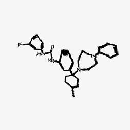 CC1CCC(c2cccc(NC(=O)Nc3cccc(F)c3)c2)(N2CCN(c3ccccc3)CC2)CC1